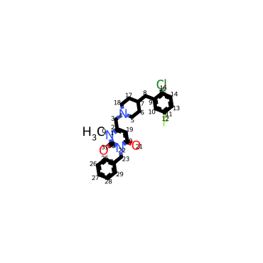 Cn1c(CN2CCC(Cc3cc(F)ccc3Cl)CC2)cc(=O)n(Cc2ccccc2)c1=O